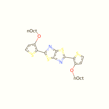 CCCCCCCCOc1ccsc1-c1nc2sc(-c3sccc3OCCCCCCCC)nc2s1